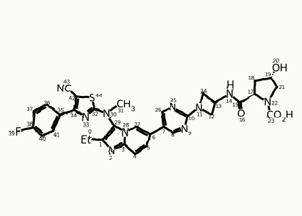 CCc1nc2ccc(-c3cnc(N4CC(NC(=O)[C@H]5C[C@H](O)CN5C(=O)O)C4)nc3)cn2c1N(C)c1nc(-c2ccc(F)cc2)c(C#N)s1